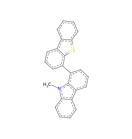 Cn1c2ccccc2c2cccc(-c3cccc4c3sc3ccccc34)c21